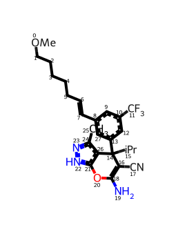 COCCCCC/C=C/c1cc(C(F)(F)F)cc(C2(C(C)C)C(C#N)=C(N)Oc3[nH]nc(C)c32)c1